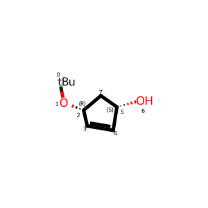 CC(C)(C)O[C@H]1C=C[C@@H](O)C1